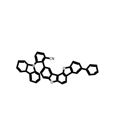 N#Cc1cccc(N2c3ccccc3C3C=CC=CC32)c1-c1ccc2oc3ccc4c5cc(-c6ccccc6)ccc5oc4c3c2c1